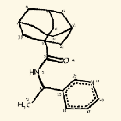 CC(NC(=O)C12CC3CC(CC(C3)C1)C2)c1cccnc1